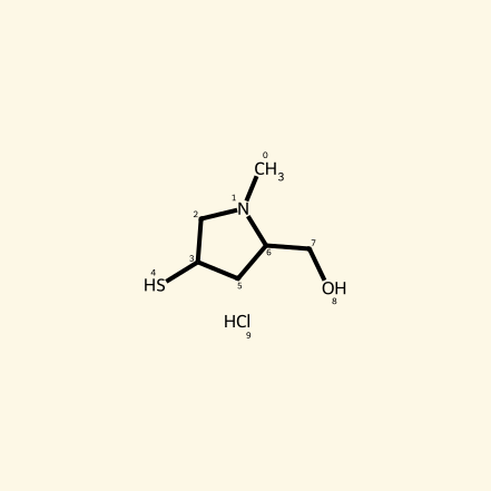 CN1CC(S)CC1CO.Cl